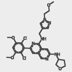 COCCn1cc(CNc2nc(-c3c(Cl)c(OC)cc(OC)c3Cl)cc3cnc(NC4CCOC4)cc23)cn1